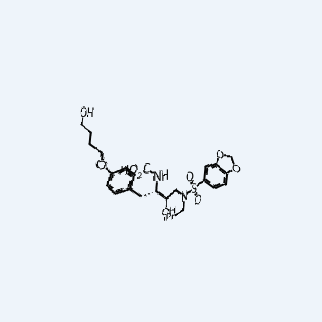 CC(C)CN(C[C@@H](O)[C@H](Cc1ccc(OCCCCO)cc1)NC(=O)O)S(=O)(=O)c1ccc2c(c1)OCO2